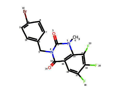 Cn1c(=O)n(Cc2ccc(Br)cc2)c(=O)c2cc(F)c(F)c(F)c21